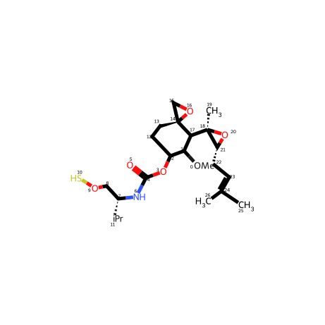 COC1C(OC(=O)N[C@@H](COS)C(C)C)CC[C@]2(CO2)C1[C@@]1(C)O[C@@H]1CC=C(C)C